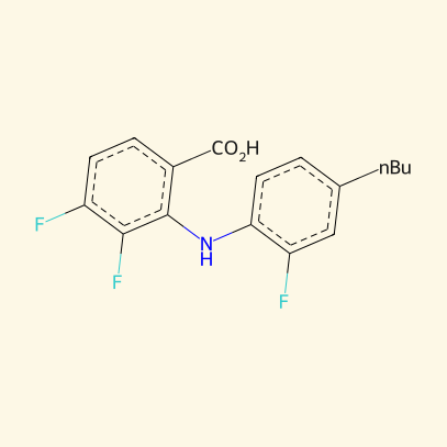 CCCCc1ccc(Nc2c(C(=O)O)ccc(F)c2F)c(F)c1